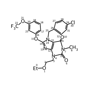 CCOCCn1c(=O)n(C)c(=O)c2c1nc(Oc1cccc(OC(F)(F)F)c1)n2Cc1ccc(Cl)cc1